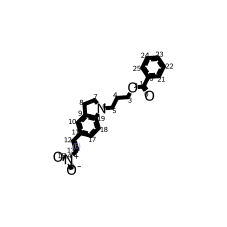 O=C(OCCCN1CCc2cc(/C=C/[N+](=O)[O-])ccc21)c1ccccc1